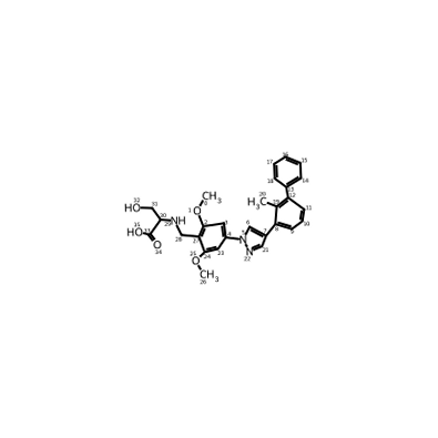 COc1cc(-n2cc(-c3cccc(-c4ccccc4)c3C)cn2)cc(OC)c1CNC(CO)C(=O)O